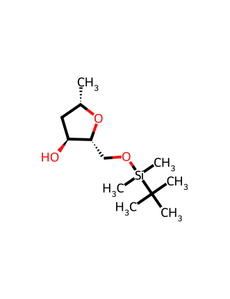 C[C@H]1C[C@H](O)[C@@H](CO[Si](C)(C)C(C)(C)C)O1